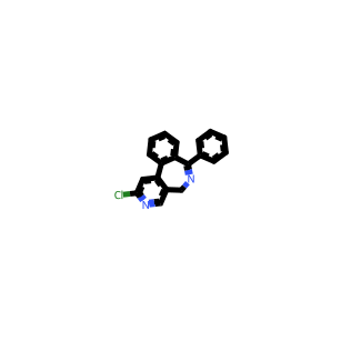 Clc1cc2c(cn1)CN=C(c1ccccc1)c1ccccc1-2